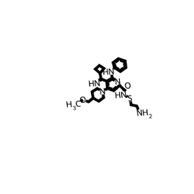 COCC1CCN(c2cc(C(=O)NSCCN)nc(Nc3ccccc3)c2C(=N)C2CCC2)CC1